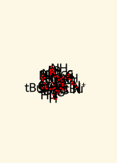 C[C@H](OC(=O)[C@@H]1CCCN1C(=O)[C@H](CSSC(C)(C)C)NC(=O)[C@H](Cc1c[nH]c2ccccc12)NC(=O)[C@H](CCCCN(C)C)NC(=O)CNC(=O)[C@H](CSSC(C)(C)C)NC(=O)OCc1ccc(N=[N+]=[N-])cc1)C(=O)N[C@@H](CCCCNC(=O)[C@@H]1CSCN1C(=O)OCc1ccc(N=[N+]=[N-])cc1)C(=O)N[C@@H](CC(=O)SCc1ccccc1)C(=O)N1CCC[C@H]1C(N)=O